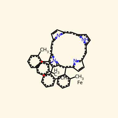 Cc1ccccc1-c1c(-c2ccccc2C)c2c(-c3ccccc3C)c3nc(cc4ccc(cc5nc(cc1n2-c1ccccc1C)C=C5)[nH]4)C=C3.[Fe]